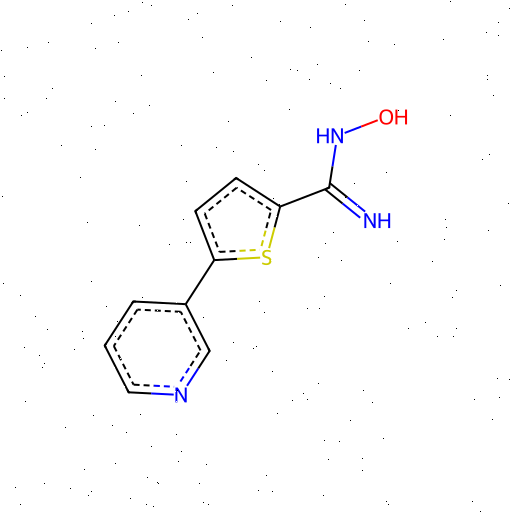 N=C(NO)c1ccc(-c2cccnc2)s1